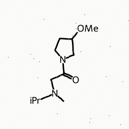 COC1CCN(C(=O)CN(C)C(C)C)C1